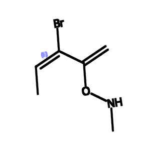 C=C(ONC)/C(Br)=C\C